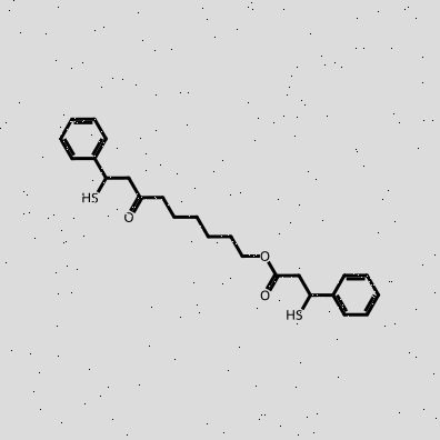 O=C(CCCCCCOC(=O)CC(S)c1ccccc1)CC(S)c1ccccc1